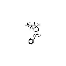 CC(C(=O)OC(C)(C)C)C1(O)CCN(C(=O)OCc2ccccc2)CC1